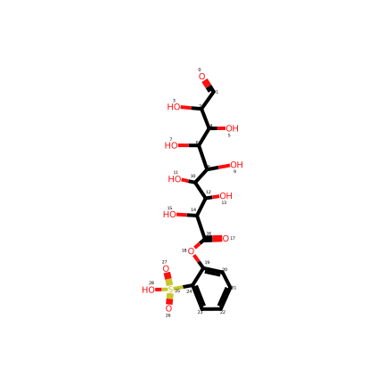 O=CC(O)C(O)C(O)C(O)C(O)C(O)C(O)C(=O)Oc1ccccc1S(=O)(=O)O